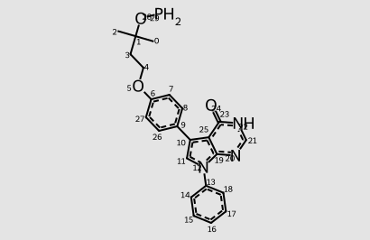 CC(C)(CCOc1ccc(-c2cn(-c3ccccc3)c3nc[nH]c(=O)c23)cc1)OP